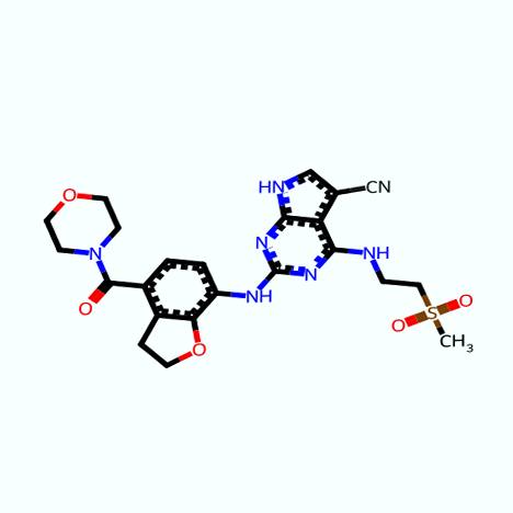 CS(=O)(=O)CCNc1nc(Nc2ccc(C(=O)N3CCOCC3)c3c2OCC3)nc2[nH]cc(C#N)c12